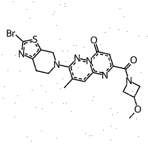 COC1CN(C(=O)c2cc(=O)n3nc(N4CCc5nc(Br)sc5C4)c(C)cc3n2)C1